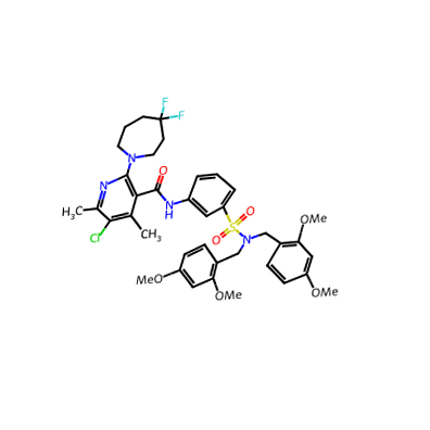 COc1ccc(CN(Cc2ccc(OC)cc2OC)S(=O)(=O)c2cccc(NC(=O)c3c(N4CCCC(F)(F)CC4)nc(C)c(Cl)c3C)c2)c(OC)c1